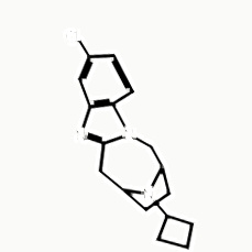 Clc1ccc2c(c1)nc1n2CC2CCC(C1)N2C1CCC1